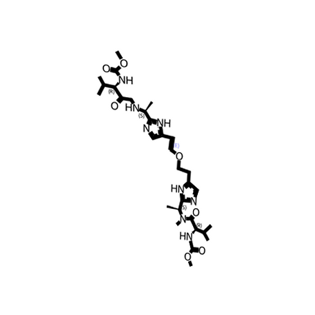 COC(=O)N[C@@H](C(=O)CN[C@@H](C)c1ncc(/C=C/OCCc2cnc([C@H](C)N(C)C(=O)[C@H](NC(=O)OC)C(C)C)[nH]2)[nH]1)C(C)C